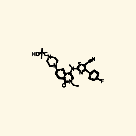 CCn1cc(N(C)c2nc(-c3ccc(F)cc3)c(C#N)s2)c2cc(N3CCN(CC(C)(C)O)CC3)ccc2c1=O